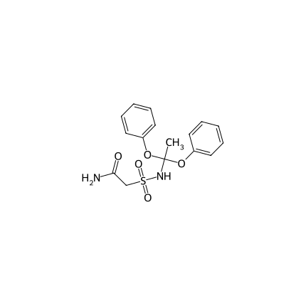 CC(NS(=O)(=O)CC(N)=O)(Oc1ccccc1)Oc1ccccc1